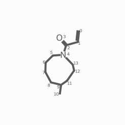 C=CC(=O)N1CCCCC(C)CCC1